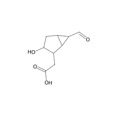 O=CC1C2CC(O)C(CC(=O)O)C12